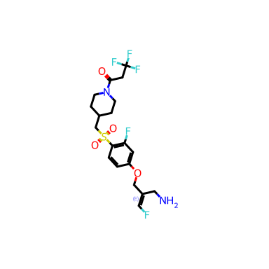 NC/C(=C\F)COc1ccc(S(=O)(=O)CC2CCN(C(=O)CC(F)(F)F)CC2)c(F)c1